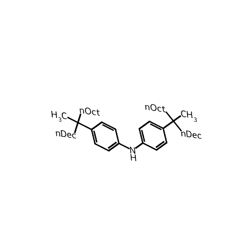 CCCCCCCCCCC(C)(CCCCCCCC)c1ccc(Nc2ccc(C(C)(CCCCCCCC)CCCCCCCCCC)cc2)cc1